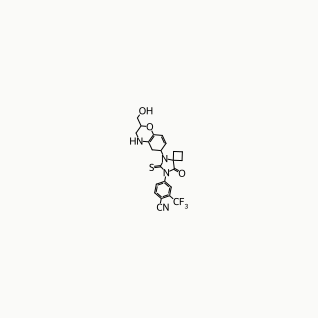 N#Cc1ccc(N2C(=O)C3(CCC3)N(C3C=CC4=C(C3)NCC(CO)O4)C2=S)cc1C(F)(F)F